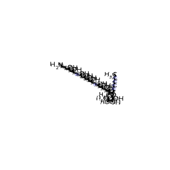 C/C=C/C=C/C=C/C=C/CC(OC1OC(C)C(O)C(O)C1O)C(C)C(=O)C[C@@H](O)CC(O)CC(O)/C=C/CC(O)CC(O)CC(O)CC(O)/C=C/CC(O)CC(O)CCCN